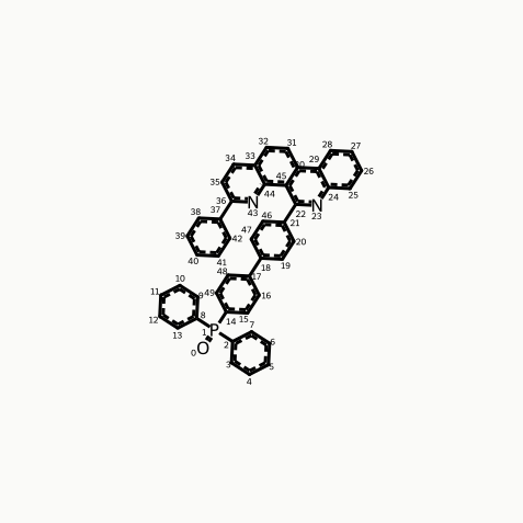 O=P(c1ccccc1)(c1ccccc1)c1ccc(-c2ccc(-c3nc4ccccc4c4ccc5ccc(-c6ccccc6)nc5c34)cc2)cc1